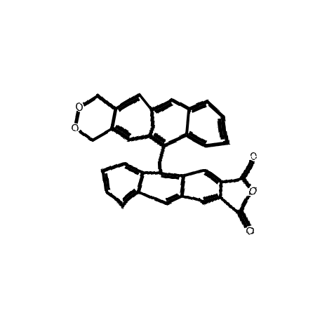 O=C1OC(=O)c2cc3c(-c4c5ccccc5cc5cc6c(cc45)COOC6)c4ccccc4cc3cc21